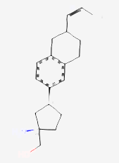 CCCC/C=C\C1CCc2cc([C@H]3CC[C@](N)(CO)C3)ccc2C1